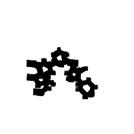 Cc1c(Nc2nccc(-c3cc(C#N)c4c(c3)C(C)(CO)CN4)n2)cnn1C1CCOCC1